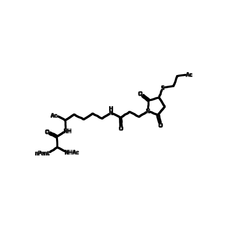 CCCCCC(NC(C)=O)C(=O)NC(CCCCNC(=O)CCN1C(=O)CC(SCCC(C)=O)C1=O)C(C)=O